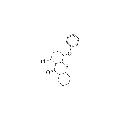 O=C1C2CCCCC2SC2C(Oc3ccccc3)CCC(Cl)C12